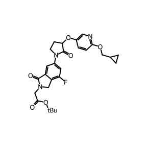 CC(C)(C)OC(=O)CN1Cc2c(F)cc(N3CCC(Oc4ccc(OCC5CC5)nc4)C3=O)cc2C1=O